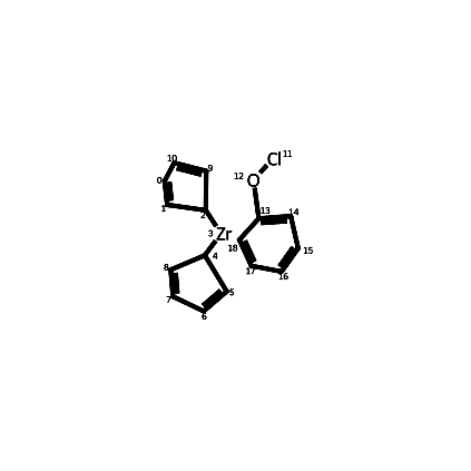 C1=C[CH]([Zr][CH]2C=CC=C2)C=C1.ClOc1ccccc1